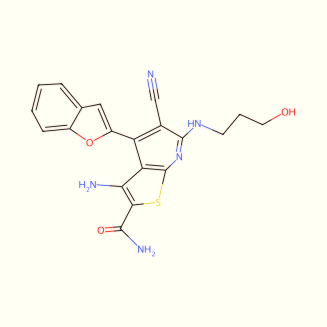 N#Cc1c(NCCCO)nc2sc(C(N)=O)c(N)c2c1-c1cc2ccccc2o1